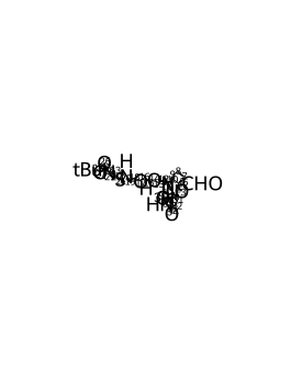 CN(C(=O)c1c(C=O)cccc1NCCOCCOCCNSC1CN(C(=O)OC(C)(C)C)C1)C1CCC(=O)NC1=O